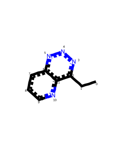 CCc1nnnc2cccnc12